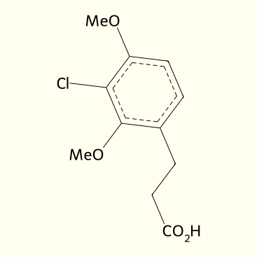 COc1ccc(CCC(=O)O)c(OC)c1Cl